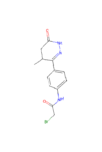 CC1CC(=O)NN=C1c1ccc(NC(=O)CBr)cc1